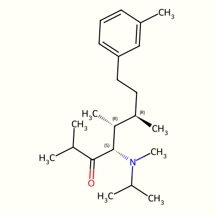 Cc1cccc(CC[C@@H](C)[C@@H](C)[C@@H](C(=O)C(C)C)N(C)C(C)C)c1